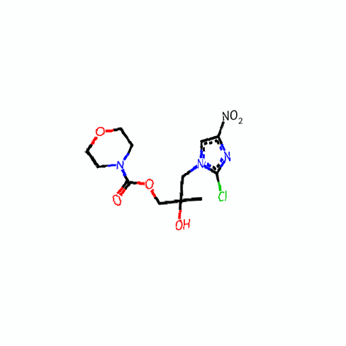 CC(O)(COC(=O)N1CCOCC1)Cn1cc([N+](=O)[O-])nc1Cl